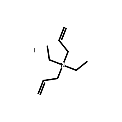 C=CC[N+](CC)(CC)CC=C.[I-]